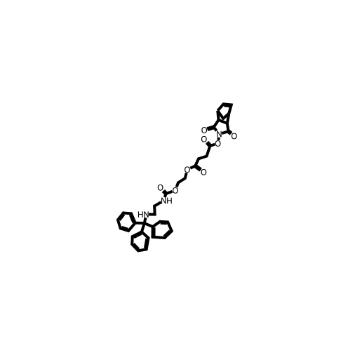 O=C(CCC(=O)ON1C(=O)C2C3C=CC(C3)C2C1=O)OCCOC(=O)NCCNC(c1ccccc1)(c1ccccc1)c1ccccc1